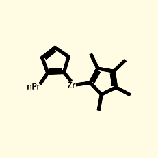 CCCC1=[C]([Zr][C]2=C(C)C(C)=C(C)C2C)CC=C1